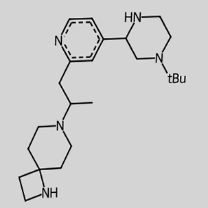 CC(Cc1cc(C2CN(C(C)(C)C)CCN2)ccn1)N1CCC2(CCN2)CC1